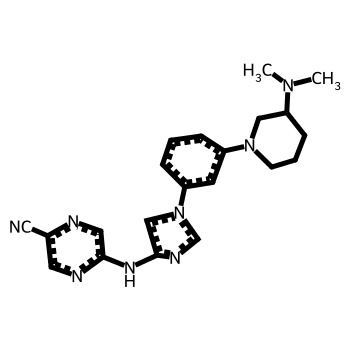 CN(C)C1CCCN(c2cccc(-n3cnc(Nc4cnc(C#N)cn4)c3)c2)C1